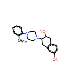 COc1ccccc1N1CCN(C2Cc3cc(O)ccc3CC2O)CC1